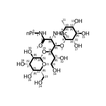 CCCNC(=O)[C@H](NC(C)=O)[C@@H](O[C@@H]1O[C@H](C)[C@H](O)[C@@H](O)[C@@H]1O)[C@H](O[C@@H]1O[C@H](CO)[C@H](O)[C@H](O)[C@H]1O)[C@H](O)CO